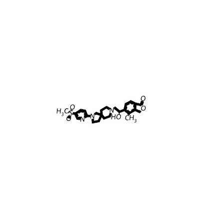 Cc1c([C@H](O)CN2CCC3(CC2)CCN(c2ccc(S(C)(=O)=O)cn2)C3)ccc2c1COC2=O